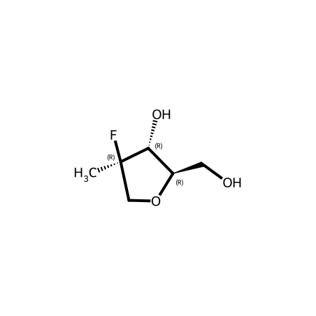 C[C@@]1(F)CO[C@H](CO)[C@H]1O